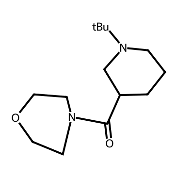 CC(C)(C)N1CCCC(C(=O)N2CCOCC2)C1